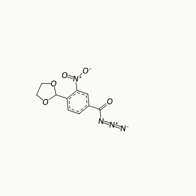 [N-]=[N+]=NC(=O)c1ccc(C2OCCO2)c([N+](=O)[O-])c1